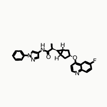 CC(C(=O)Nc1cnn(-c2ccccc2)c1)[C@H]1[C@@H]2C[C@H](Oc3ccnc4ccc(F)cc34)C[C@@H]21